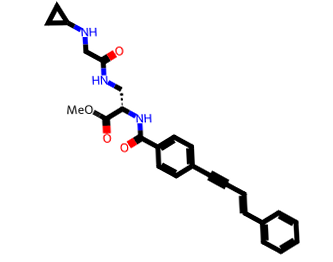 COC(=O)[C@H](CNC(=O)CNC1CC1)NC(=O)c1ccc(C#CC=Cc2ccccc2)cc1